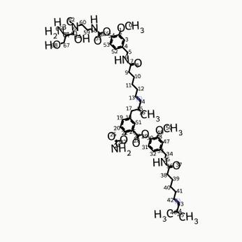 COc1cc(CNC(=O)CCCC/C=C/C(C)Cc2ccc(OC(N)=O)c(C(=O)Oc3ccc(CNC(=O)CCCC/C=C/C(C)C)cc3OC)c2)ccc1OC(=O)NCCN(C)C(O)[C@@H](N)CO